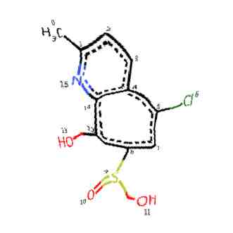 Cc1ccc2c(Cl)cc(S(=O)O)c(O)c2n1